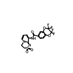 O=C(NC1=CC=CN2CCS(=O)(=O)N=C12)c1ccc2c(c1)OC(F)(F)C(F)(F)O2